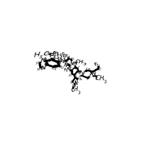 COc1cc(N2CCN(C)C(CF)C2)c(-c2cnn(C)c2)cc1Nc1ncc(Br)c(Nc2ccc3nccnc3c2P(C)C)n1